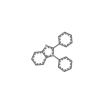 [c]1ccccc1-c1nc2ccccc2n1-c1ccccc1